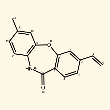 C=Cc1ccc2c(c1)Oc1cc(C)ccc1NC2=O